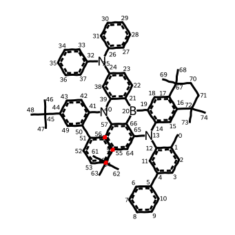 Cc1ccc(-c2ccccc2)cc1N1c2cc3c(cc2B2c4ccc(N(c5ccccc5)c5ccccc5)cc4N(c4ccc(C(C)(C)C)cc4-c4ccccc4)c4cc(C(C)(C)C)cc1c42)C(C)(C)CCC3(C)C